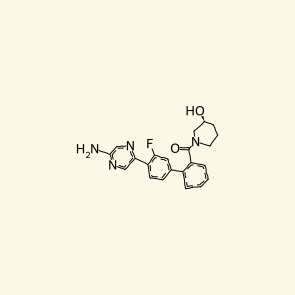 Nc1cnc(-c2ccc(-c3ccccc3C(=O)N3CCC[C@H](O)C3)cc2F)cn1